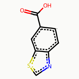 O=C(O)c1[c]cc2ncsc2c1